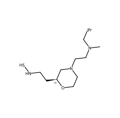 CC(C)CN(C)CCN1CCO[C@@H](CCNS)C1